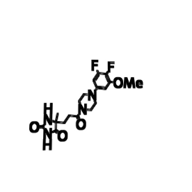 COc1cc(N2CCN(C(=O)CCC3(C)NC(=O)NC3=O)CC2)cc(F)c1F